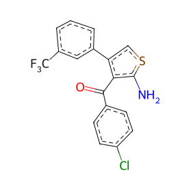 Nc1scc(-c2cccc(C(F)(F)F)c2)c1C(=O)c1ccc(Cl)cc1